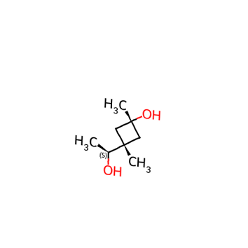 C[C@H](O)[C@]1(C)C[C@](C)(O)C1